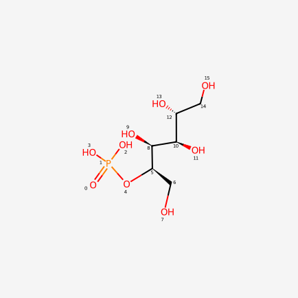 O=P(O)(O)O[C@H](CO)[C@@H](O)[C@H](O)[C@H](O)CO